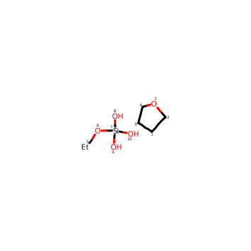 C1CCOC1.CCO[Si](O)(O)O